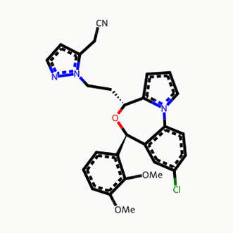 COc1cccc([C@H]2O[C@H](CCn3nccc3CC#N)c3cccn3-c3ccc(Cl)cc32)c1OC